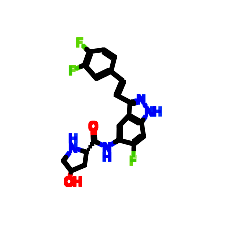 O=C(Nc1cc2c(/C=C/c3ccc(F)c(F)c3)n[nH]c2cc1F)[C@@H]1C[C@@H](O)CN1